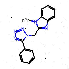 CCCn1c(Cn2nnnc2-c2ccccc2)nc2ccccc21